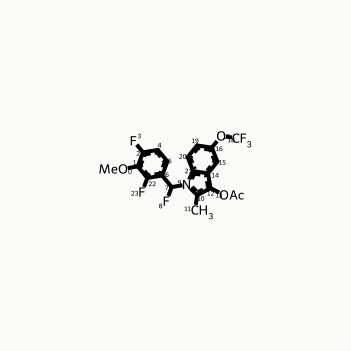 COc1c(F)ccc(C(F)n2c(C)c(OC(C)=O)c3cc(OC(F)(F)F)ccc32)c1F